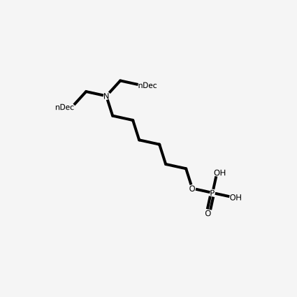 CCCCCCCCCCCN(CCCCCCCCCCC)CCCCCCOP(=O)(O)O